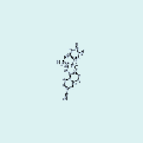 N#Cc1ccc2c3c(ccc2c1)O[C@H](c1cc(F)c(F)cc1F)[C@@H](N)C3